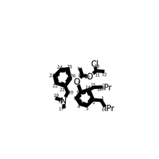 CC(C)Cc1cccc(OC(C)OC(C)Cl)c1CC(C)C.CN(C)Cc1ccccc1